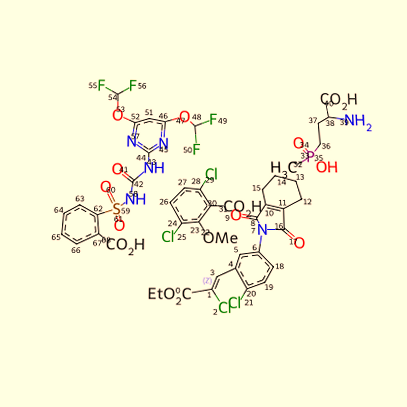 CCOC(=O)/C(Cl)=C/c1cc(N2C(=O)C3=C(CCCC3)C2=O)ccc1Cl.COc1c(Cl)ccc(Cl)c1C(=O)O.CP(=O)(O)CCC(N)C(=O)O.O=C(Nc1nc(OC(F)F)cc(OC(F)F)n1)NS(=O)(=O)c1ccccc1C(=O)O